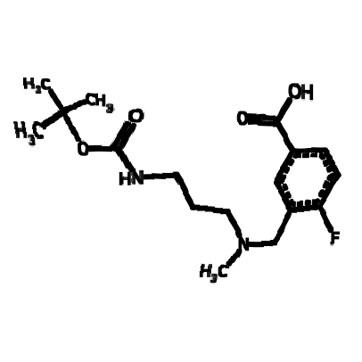 CN(CCCNC(=O)OC(C)(C)C)Cc1cc(C(=O)O)ccc1F